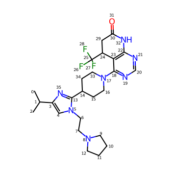 CC(C)c1cn(CCN2CCCC2)c(C2CCN(c3ncnc4c3C(C(F)(F)F)CC(=O)N4)CC2)n1